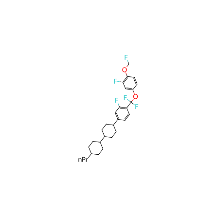 CCCC1CCC(C2CCC(c3ccc(C(F)(F)Oc4ccc(OCF)c(F)c4)c(F)c3)CC2)CC1